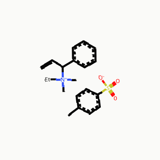 C=CC(c1ccccc1)[N+](C)(C)CC.Cc1ccc(S(=O)(=O)[O-])cc1